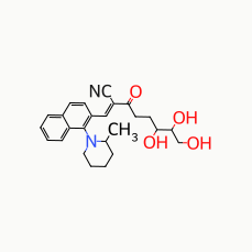 CC1CCCCN1c1c(/C=C(\C#N)C(=O)CCC(O)C(O)CO)ccc2ccccc12